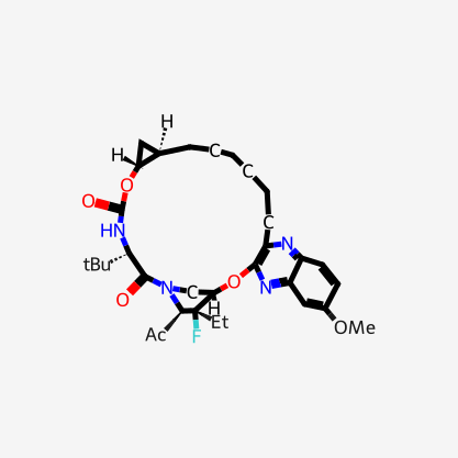 CC[C@]1(F)[C@@H]2CN(C(=O)[C@H](C(C)(C)C)NC(=O)O[C@@H]3C[C@H]3CCCCCCc3nc4ccc(OC)cc4nc3O2)[C@@H]1C(C)=O